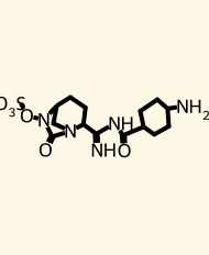 N=C(NC(=O)C1CCC(N)CC1)C1CCC2CN1C(=O)N2OS(=O)(=O)O